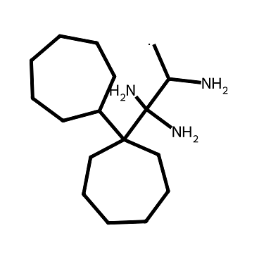 [CH2]C(N)C(N)(N)C1([C]2CCCCCC2)CCCCCC1